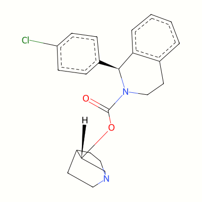 O=C(O[C@@H]1CN2CCC1CC2)N1CCc2ccccc2[C@@H]1c1ccc(Cl)cc1